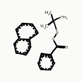 CC(C)(C)OOC(=O)c1ccccc1.c1ccc2ccccc2c1